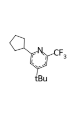 CC(C)(C)c1cc(C2CCCC2)nc(C(F)(F)F)c1